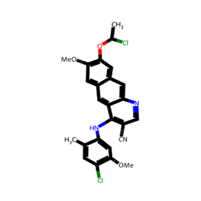 COc1cc(Nc2c(C#N)cnc3cc4cc(OC(C)Cl)c(OC)cc4cc23)c(C)cc1Cl